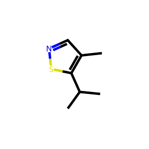 Cc1cnsc1C(C)C